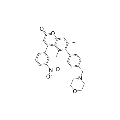 Cc1cc2oc(=O)cc(-c3cccc([N+](=O)[O-])c3)c2c(C)c1-c1ccc(CN2CCOCC2)cc1